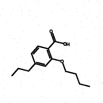 CCCCOc1cc(CCC)ccc1C(=O)O